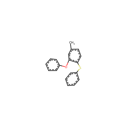 Cc1ccc(Sc2ccccc2)c(Oc2ccccc2)c1